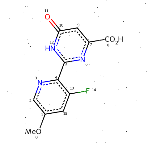 COc1cnc(-c2nc(C(=O)O)cc(=O)[nH]2)c(F)c1